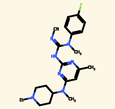 CCN1CCC(N(C)c2cc(C)nc(N/C(=N/C#N)N(C)c3ccc(F)cc3)n2)CC1